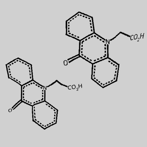 O=C(O)Cn1c2ccccc2c(=O)c2ccccc21.O=C(O)Cn1c2ccccc2c(=O)c2ccccc21